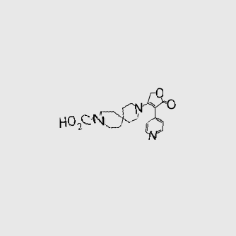 O=C1OCC(N2CCC3(CCN(C(=O)O)CC3)CC2)=C1c1ccncc1